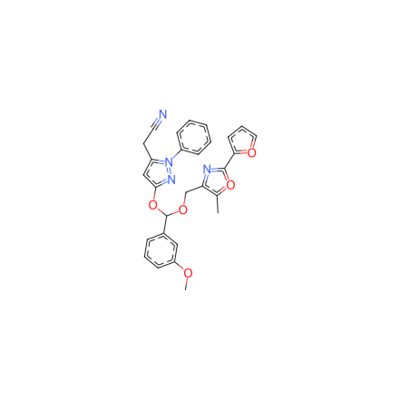 COc1cccc(C(OCc2nc(-c3ccco3)oc2C)Oc2cc(CC#N)n(-c3ccccc3)n2)c1